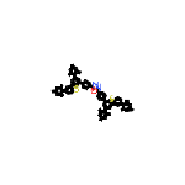 Cc1cc(C)c(-c2ccc3sc4c(-c5ccc(-c6nnc(-c7ccc(-c8cc(-c9c(C)cc(C)cc9C)cc9c8sc8ccc(-c%10c(C)cc(C)cc%10C)cc89)cc7)o6)cc5)cc(-c5c(C)cc(C)cc5C)cc4c3c2)c(C)c1